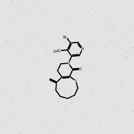 C=C1CCCCCSC2=C1CCN(c1cncc(Br)c1C=O)C2=O